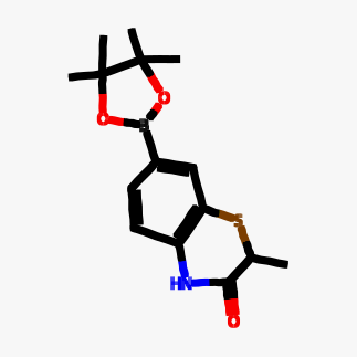 CC1Sc2cc(B3OC(C)(C)C(C)(C)O3)ccc2NC1=O